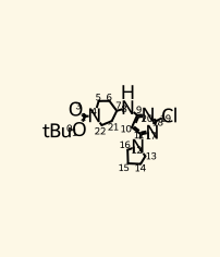 CC(C)(C)OC(=O)N1CCC(Nc2cc(N3CCCC3)nc(Cl)n2)CC1